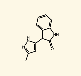 Cc1cc(C2C(=O)Nc3ccccc32)[nH]n1